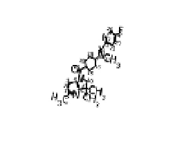 Cc1ccc2c(n1)C(C)(C)CN2C(=O)C1CCC(N(C)Cc2ccc(F)cn2)CC1